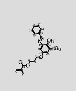 C=C(C)C(=O)OCCCOc1cc(N=Nc2ccccc2)c(O)c(C(C)(C)C)c1